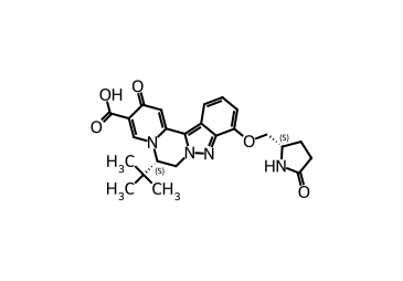 CC(C)(C)[C@H]1Cn2nc3c(OC[C@@H]4CCC(=O)N4)cccc3c2-c2cc(=O)c(C(=O)O)cn21